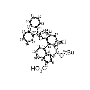 CC(C)(C)OC(=O)n1cc(C(=O)O)c2nccc(-c3cc(Cl)ccc3O[Si](c3ccccc3)(c3ccccc3)C(C)(C)C)c21